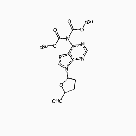 CC(C)(C)OC(=O)N(C(=O)OC(C)(C)C)c1ncnc2c1ccn2C1CCC(C=O)O1